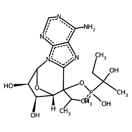 CCC(C)(O)P(=O)(O)OC1(C(C)C)c2nc3c(N)ncnc3n2C2O[C@H]1[C@@H](O)[C@H]2O